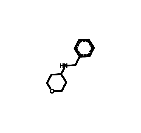 c1ccc(CNC2CCOCC2)cc1